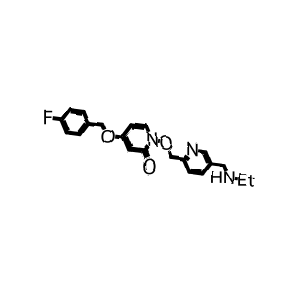 CCNCc1ccc(COn2ccc(OCc3ccc(F)cc3)cc2=O)nc1